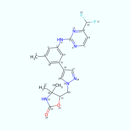 Cc1cc(Nc2nccc(C(F)F)n2)cc(-c2cnn(CC3OC(=O)NC3(C)C)c2)c1